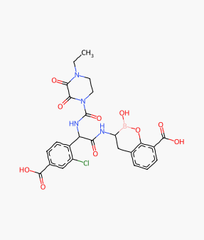 CCN1CCN(C(=O)NC(C(=O)NC2Cc3cccc(C(=O)O)c3OB2O)c2ccc(C(=O)O)cc2Cl)C(=O)C1=O